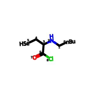 CCCCCNC(C[SeH])C(=O)Cl